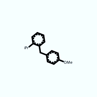 COc1ccc(Cc2ccccc2C(C)C)cc1